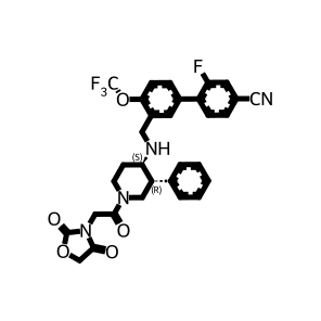 N#Cc1ccc(-c2ccc(OC(F)(F)F)c(CN[C@H]3CCN(C(=O)CN4C(=O)COC4=O)C[C@H]3c3ccccc3)c2)c(F)c1